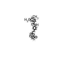 Cc1cc(C)n2ccc(C(=O)Nc3ccc(CCC(=O)ON4C(=O)CCC4=O)cc3)c2n1